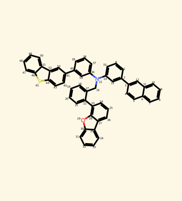 c1cc(-c2ccc3ccccc3c2)cc(N(Cc2ccccc2-c2cccc3c2oc2ccccc23)c2cccc(-c3ccc4sc5ccccc5c4c3)c2)c1